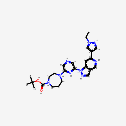 CCn1cc(-c2cc3c(cn2)cnn3-c2cncc(N3CCCN(C(=O)OC(C)(C)C)CC3)n2)cn1